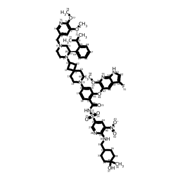 COc1cc(CN2CCN(C3CC4(CCN(c5ccc(C(=O)NS(=O)(=O)c6cnc(NCC7CCC(C)(O)CC7)c([N+](=O)[O-])c6)c(Oc6cc7c(F)c[nH]c7nc6OC)c5)CC4)C3)[C@H](c3ccccc3C(C)C)C2)cnc1OC